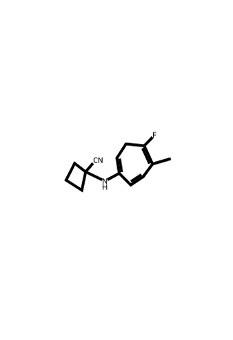 CC1=C(F)CC=C(NC2(C#N)CCC2)C=C1